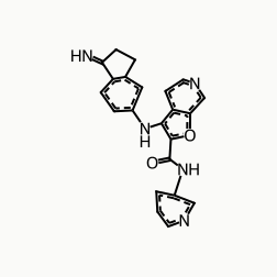 N=C1CCc2cc(Nc3c(C(=O)Nc4cccnc4)oc4cnccc34)ccc21